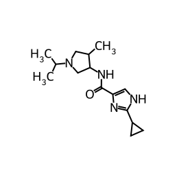 CC1CN(C(C)C)CC1NC(=O)c1c[nH]c(C2CC2)n1